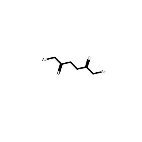 CC(=O)CC(=O)CCC(=O)CC(C)=O